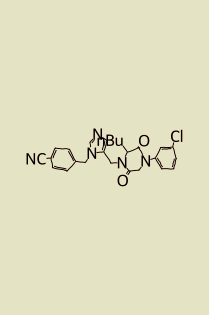 CCCCC1C(=O)N(c2cccc(Cl)c2)CC(=O)N1Cc1cncn1Cc1ccc(C#N)cc1